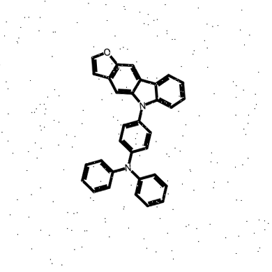 c1ccc(N(c2ccccc2)c2ccc(-n3c4ccccc4c4cc5occc5cc43)cc2)cc1